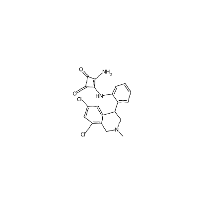 CN1Cc2c(Cl)cc(Cl)cc2C(c2ccccc2Nc2c(N)c(=O)c2=O)C1